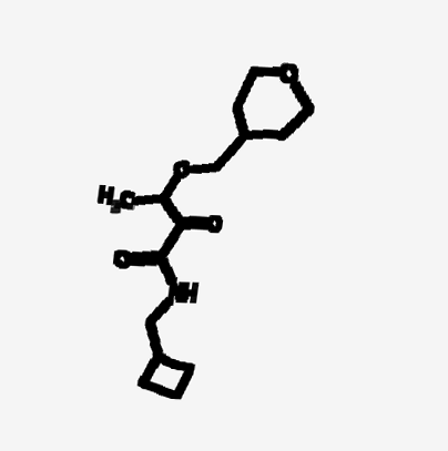 CC(OCC1CCOCC1)C(=O)C(=O)NCC1CCC1